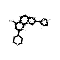 FC(F)(F)c1cc(C2CCOCC2)nc2c1ccc1nc(-c3nnco3)cn12